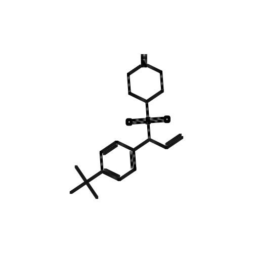 C=CC(c1ccc(C(C)(C)C)cc1)S(=O)(=O)C1CCNCC1